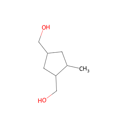 CC1CC(CO)CC1CO